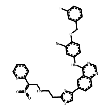 O=S(=O)=C(CNCCc1nc(-c2ccc3ncnc(Nc4ccc(OCc5cccc(F)c5)c(Br)c4)c3c2)cs1)c1ccccn1